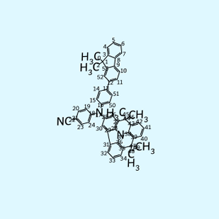 CC1(C)c2ccccc2-c2ccc(-c3ccc(N(c4ccc(C#N)cc4)c4cc5c6c(c4)c4cccc7c4n6-c4c(cccc4C5(C)C)C7(C)C)cc3)cc21